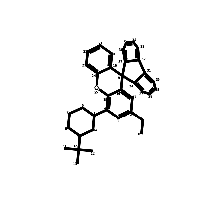 CCc1cc(C2CCCC(C(C)(C)C)C2)c2c(c1)C1(c3ccccc3O2)c2ccccc2-c2ccccc21